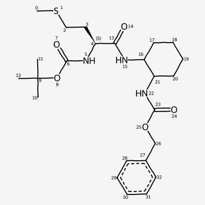 CSCC[C@H](NC(=O)OC(C)(C)C)C(=O)NC1CCCCC1NC(=O)OCc1ccccc1